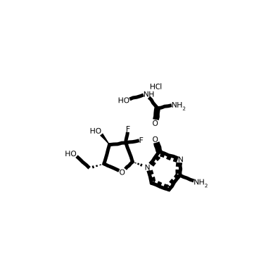 Cl.NC(=O)NO.Nc1ccn([C@@H]2O[C@H](CO)[C@@H](O)C2(F)F)c(=O)n1